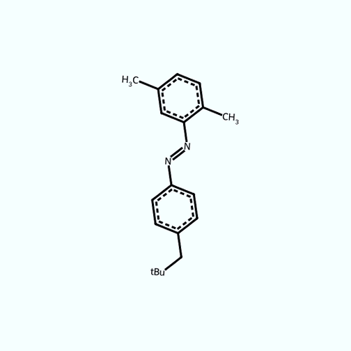 Cc1ccc(C)c(/N=N/c2ccc(CC(C)(C)C)cc2)c1